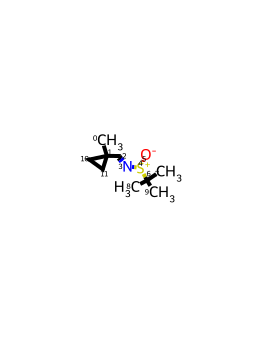 CC1(C=N[S@@+]([O-])C(C)(C)C)CC1